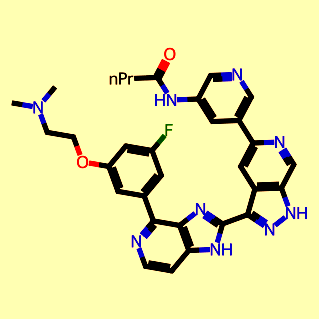 CCCC(=O)Nc1cncc(-c2cc3c(-c4nc5c(-c6cc(F)cc(OCCN(C)C)c6)nccc5[nH]4)n[nH]c3cn2)c1